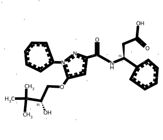 CC(C)(C)[C@@H](O)COc1cc(C(=O)N[C@@H](CC(=O)O)c2ccccc2)nn1-c1ccccc1